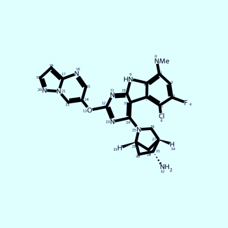 CNc1cc(F)c(Cl)c2c1[nH]c1nc(Oc3cnc4ccnn4c3)nc(N3C[C@H]4C[C@@H]3C[C@H]4N)c12